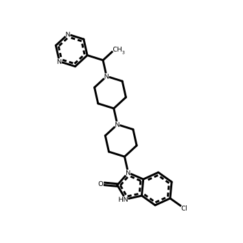 CC(c1cncnc1)N1CCC(N2CCC(n3c(=O)[nH]c4cc(Cl)ccc43)CC2)CC1